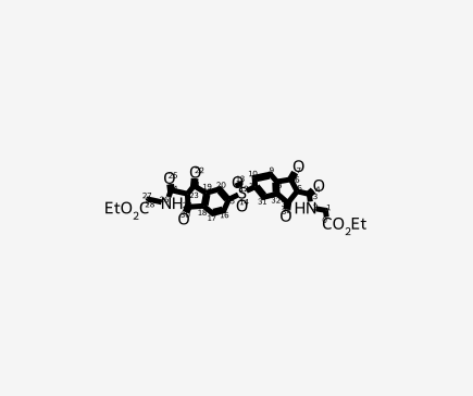 CCOC(=O)CNC(=O)C1C(=O)c2ccc(S(=O)(=O)c3ccc4c(c3)C(=O)C(C(=O)NCC(=O)OCC)C4=O)cc2C1=O